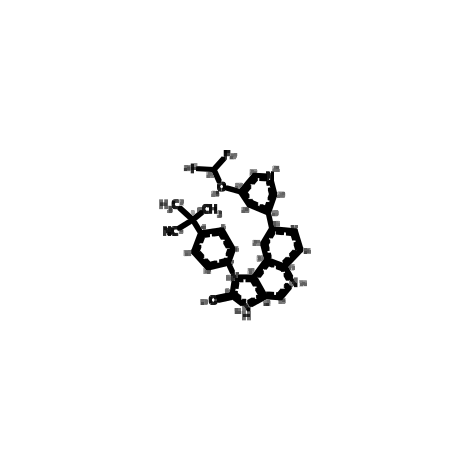 CC(C)(C#N)c1ccc(-n2c(=O)[nH]c3cnc4ccc(-c5cncc(OC(F)F)c5)cc4c32)cc1